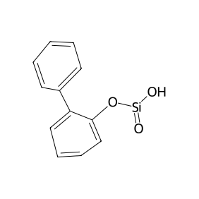 O=[Si](O)Oc1ccccc1-c1ccccc1